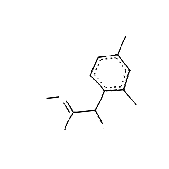 CC(=NO)C(Cl)c1ccc(C)cc1C